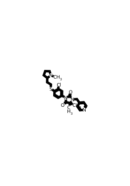 CN1CCCC1CCSc1ccc(N2C(=O)N(Cc3ccncc3)C(C)(C)C2=O)cc1Cl